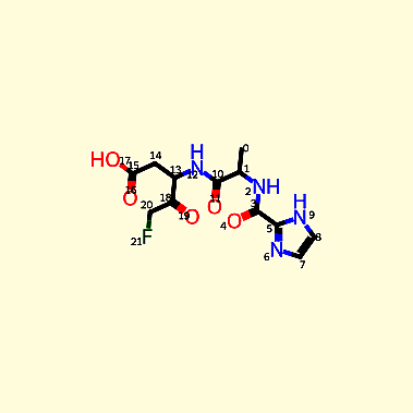 CC(NC(=O)c1ncc[nH]1)C(=O)NC(CC(=O)O)C(=O)CF